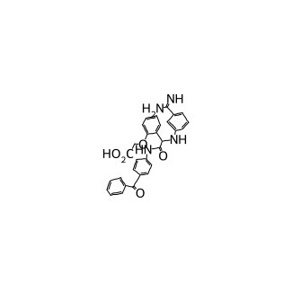 N=C(N)c1cccc(NC(C(=O)Nc2ccc(C(=O)c3ccccc3)cc2)c2ccccc2OCC(=O)O)c1